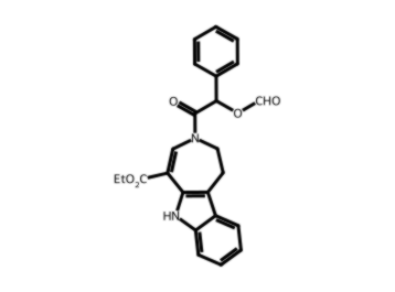 CCOC(=O)C1=CN(C(=O)C(OC=O)c2ccccc2)CCc2c1[nH]c1ccccc21